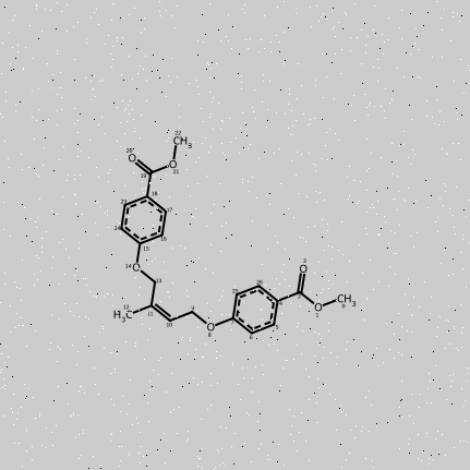 COC(=O)c1ccc(OCC=C(C)COc2ccc(C(=O)OC)cc2)cc1